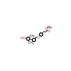 Cc1cc(O)cc(C)c1-c1cccc(COc2ccc(CCC(=O)OC(C)(C)C)cc2)c1